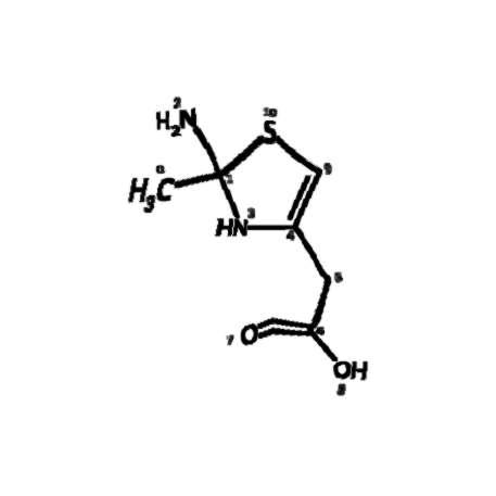 CC1(N)NC(CC(=O)O)=CS1